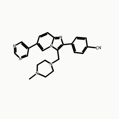 CN1CCN(Cc2c(-c3ccc(C#N)cc3)nc3ccc(-c4cncnc4)cn23)CC1